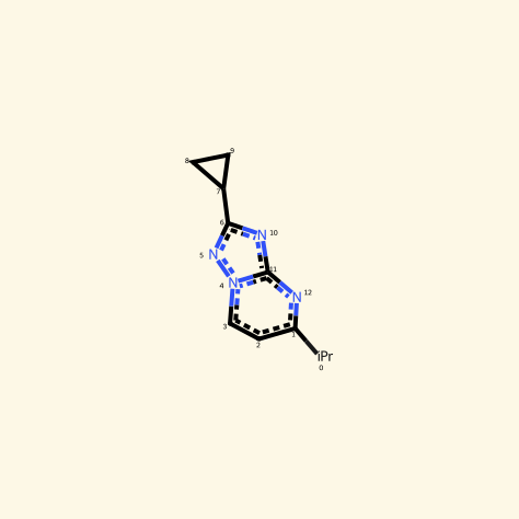 CC(C)c1ccn2nc(C3CC3)nc2n1